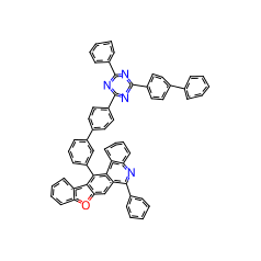 c1ccc(-c2ccc(-c3nc(-c4ccccc4)nc(-c4ccc(-c5cccc(-c6c7c(cc8c(-c9ccccc9)nc9ccccc9c68)oc6ccccc67)c5)cc4)n3)cc2)cc1